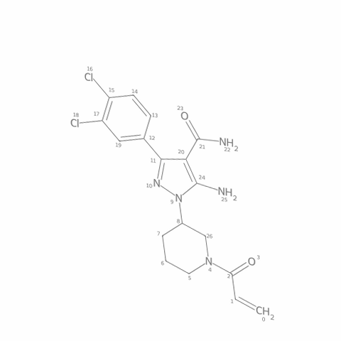 C=CC(=O)N1CCCC(n2nc(-c3ccc(Cl)c(Cl)c3)c(C(N)=O)c2N)C1